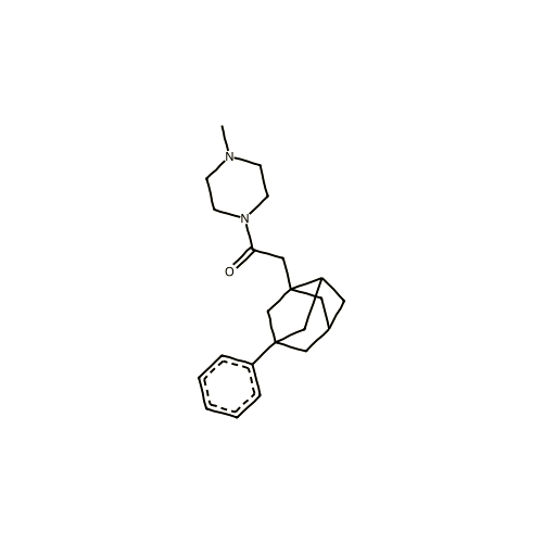 CN1CCN(C(=O)CC23CC4CC2CC(c2ccccc2)(C4)C3)CC1